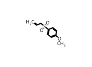 C=CCS(=O)(=O)c1ccc(OC)cc1